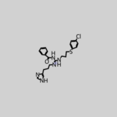 O=C(N/C(=N\CCCc1c[nH]cn1)NCCCSc1ccc(Cl)cc1)c1ccccc1